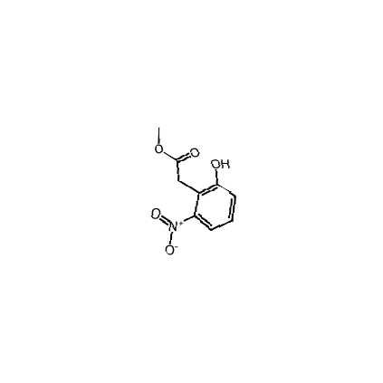 COC(=O)Cc1c(O)cccc1[N+](=O)[O-]